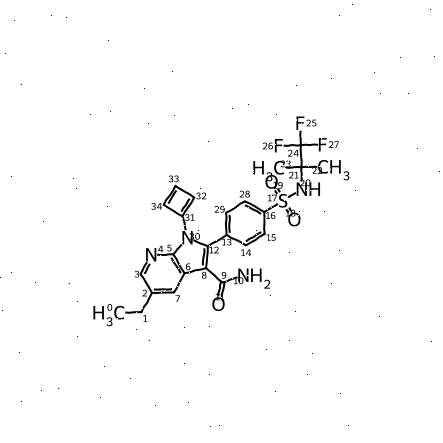 CCc1cnc2c(c1)c(C(N)=O)c(-c1ccc(S(=O)(=O)NC(C)(C)C(F)(F)F)cc1)n2C1=CC=C1